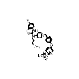 CCCCN(C(=O)Nc1ccc(F)cc1F)C1CCN(Cc2ccc(Oc3ccc(NS(C)(=O)=O)nc3)cc2)CC1